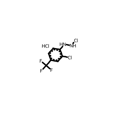 Cl.FC(F)(F)c1ccc(NNCl)c(Cl)c1